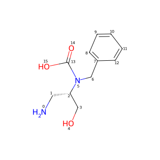 NC[C@@H](CO)N(Cc1ccccc1)C(=O)O